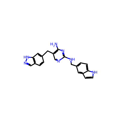 Nc1nc(NCc2ccc3[nH]ccc3c2)ncc1Cc1ccc2cn[nH]c2c1